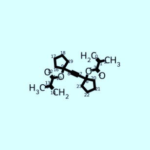 C=C(C)C(=O)OC1(C#CC2(OC(=O)C(=C)C)CCCC2)CCCC1